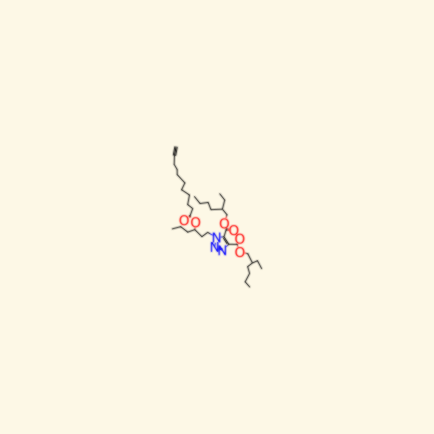 C#CCCCCCCCCC(=O)OC(CCC)CCn1nnc(C(=O)OCC(CC)CCCC)c1C(=O)OCC(CC)CCCC